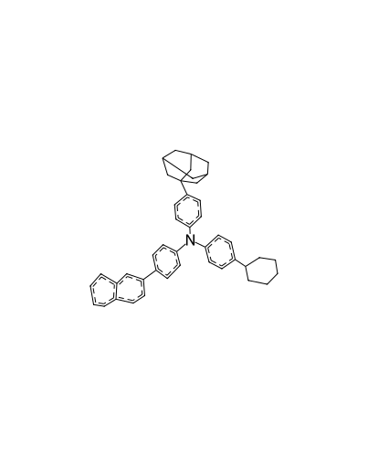 c1ccc2cc(-c3ccc(N(c4ccc(C5CCCCC5)cc4)c4ccc(C56CC7CC(CC(C7)C5)C6)cc4)cc3)ccc2c1